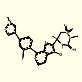 CN1C(=N)N[C@](C)(c2sc3c(-c4ccc(-c5cnn(C)c5)cc4F)nccc3c2Cl)CS1(=O)=O